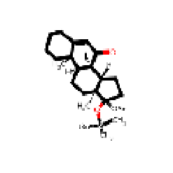 CC(=O)OC1(O[Si](C)(C)C(C)(C)C)CC[C@H]2[C@@H]3C(=O)C=C4CCCC[C@]4(C)[C@@H]3CC[C@@]21C